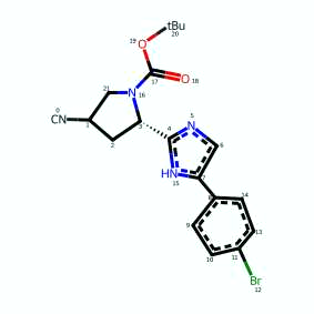 [C-]#[N+]C1C[C@@H](c2ncc(-c3ccc(Br)cc3)[nH]2)N(C(=O)OC(C)(C)C)C1